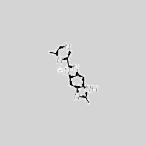 Cc1cncc(-c2nc3cc4[nH]c(C)nc4cc3[nH]2)n1